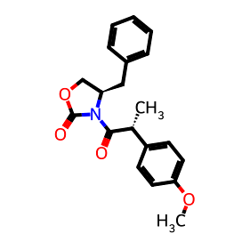 COc1ccc([C@@H](C)C(=O)N2C(=O)OC[C@H]2Cc2ccccc2)cc1